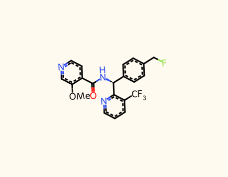 COc1cnccc1C(=O)N[C@@H](c1ccc(CF)cc1)c1ncccc1C(F)(F)F